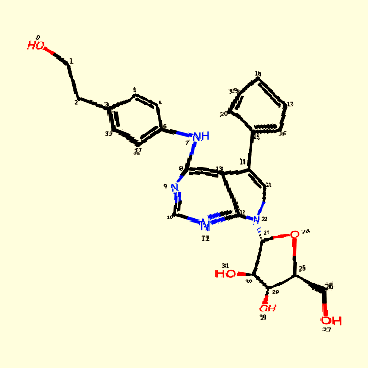 OCCc1ccc(Nc2ncnc3c2c(-c2ccccc2)cn3[C@@H]2O[C@@H](CO)[C@@H](O)[C@H]2O)cc1